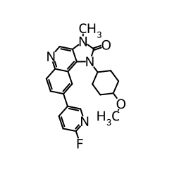 COC1CCC(n2c(=O)n(C)c3cnc4ccc(-c5ccc(F)nc5)cc4c32)CC1